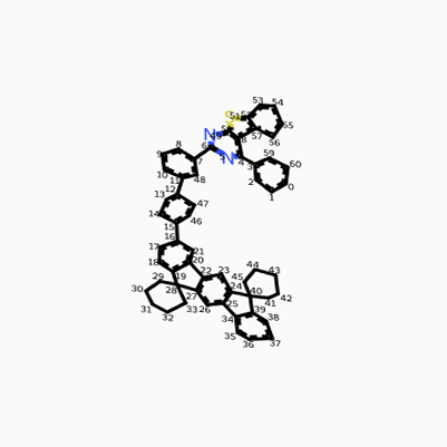 c1ccc(-c2nc(-c3cccc(-c4ccc(-c5ccc6c(c5)-c5cc7c(cc5C65CCCCC5)-c5ccccc5C75CCCCC5)cc4)c3)nc3sc4ccccc4c23)cc1